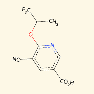 CC(Oc1ncc(C(=O)O)cc1C#N)C(F)(F)F